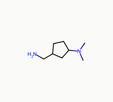 CN(C)C1CCC(CN)C1